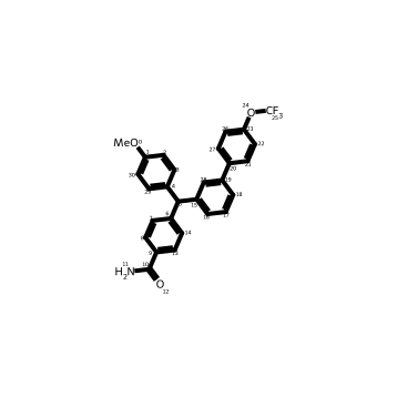 COc1ccc(C(c2ccc(C(N)=O)cc2)c2cccc(-c3ccc(OC(F)(F)F)cc3)c2)cc1